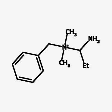 CCC(N)[N+](C)(C)Cc1ccccc1